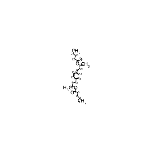 C=CCCC(=O)OC(C)CCc1ccc(CCC(C)OC(=O)CCC=C)cc1